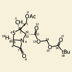 CC(=O)OC[C@]1(C)S[C@@H]2CC(=O)N2[C@H]1C(=O)OCOC(=O)C(C)(C)C